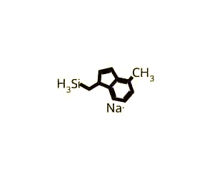 Cc1cccc2c1C=CC2C[SiH3].[Na]